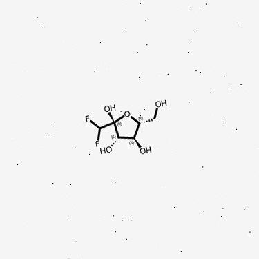 OC[C@H]1O[C@@](O)(C(F)F)[C@@H](O)[C@@H]1O